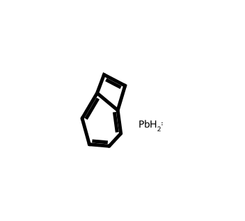 C1=Cc2ccccc21.[PbH2]